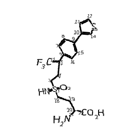 N=S(=O)(CCC(c1ccc(-c2ccsc2)cc1)C(F)(F)F)CC[C@H](N)C(=O)O